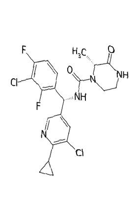 C[C@@H]1C(=O)NCCN1C(=O)N[C@H](c1cnc(C2CC2)c(Cl)c1)c1ccc(F)c(Cl)c1F